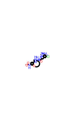 COC(=O)Nc1ccc2c(c1)OCCCCCC[C@H](NC(=O)/C=C/c1cc(Cl)ccc1N(N)/C=N\N)c1nc-2c[nH]1